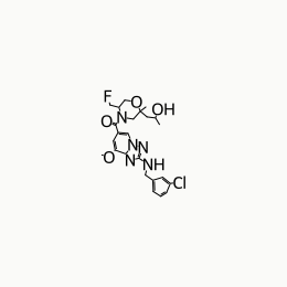 COc1cc(C(=O)N2CC(C)(CC(C)O)OCC2CF)cn2nc(NCc3cccc(Cl)c3)nc12